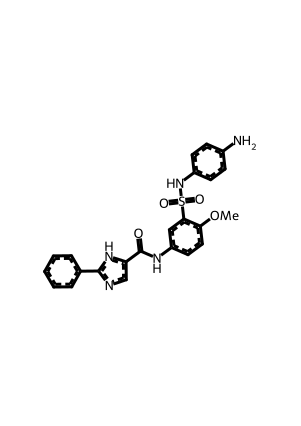 COc1ccc(NC(=O)c2cnc(-c3ccccc3)[nH]2)cc1S(=O)(=O)Nc1ccc(N)cc1